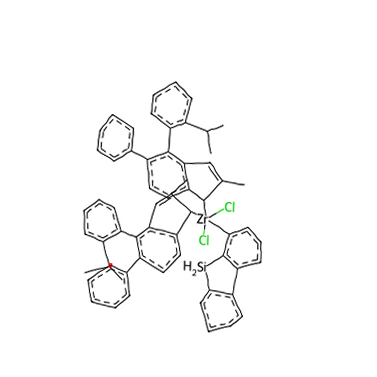 CC1=Cc2c(ccc(-c3ccccc3)c2-c2ccccc2C(C)C)[CH]1[Zr]([Cl])([Cl])([c]1cccc2c1[SiH2]c1ccccc1-2)[CH]1C(C)=Cc2c1ccc(-c1ccccc1)c2-c1ccccc1C(C)C